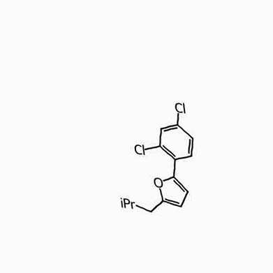 CC(C)Cc1ccc(-c2ccc(Cl)cc2Cl)o1